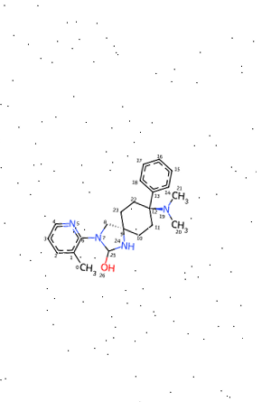 Cc1cccnc1N1C[C@]2(CC[C@](c3ccccc3)(N(C)C)CC2)NC1O